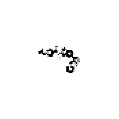 CC(C)CN1CCC(C(=O)Nc2cc3cc(-c4cnn(C)c4CN4CCCCC4)ccc3nn2)CC1